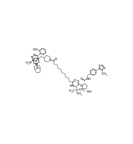 Cc1ncsc1-c1ccc(CNC(=O)[C@@H]2C[C@H](O)CN2C(=O)C(NC(=O)CCCCCCCCCC(=O)N2CCC(Cc3cccc(N4C5CCC4CN(c4cc(-c6ccccc6O)nnc4N)C5)c3)CC2)C(C)(C)C)cc1